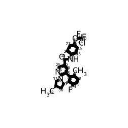 Cc1ccc(F)cc1-c1cc(C(=O)Nc2ccc(OC(F)(F)Cl)cc2)cnc1N1CC[C@@H](C)C1